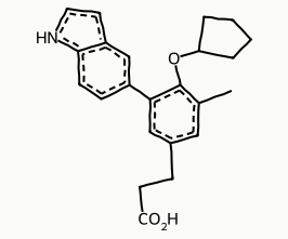 Cc1cc(CCC(=O)O)cc(-c2ccc3[nH]ccc3c2)c1OC1CCCC1